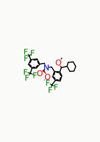 COC(=O)N(Cc1cc(C(F)(F)F)cc(C(F)(F)F)c1)Cc1cc(C(F)(F)F)ccc1C(OC)C1CCCCC1